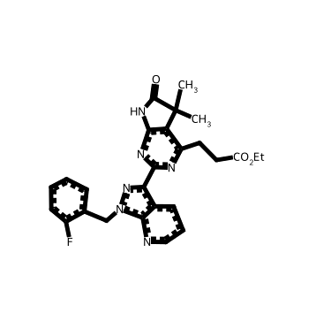 CCOC(=O)CCc1nc(-c2nn(Cc3ccccc3F)c3ncccc23)nc2c1C(C)(C)C(=O)N2